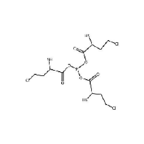 O=C(OP(OC(=O)C(S)CCCl)OC(=O)C(S)CCCl)C(S)CCCl